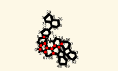 CC1(C)c2ccccc2-c2c(-c3ccccc3N(c3cccc(-c4cccc5ccccc45)c3)c3ccccc3-c3ccc4c(c3)-c3ccccc3C43c4ccccc4-c4ccccc43)cccc21